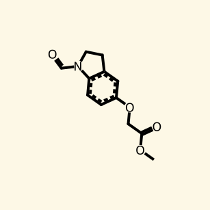 COC(=O)COc1ccc2c(c1)CCN2C=O